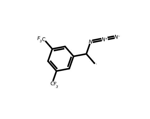 [CH2]C(N=[N+]=[N-])c1cc(C(F)(F)F)cc(C(F)(F)F)c1